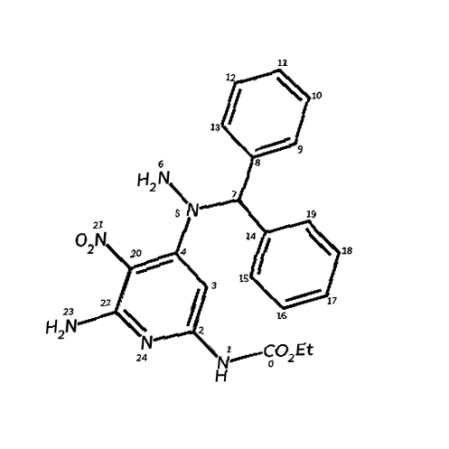 CCOC(=O)Nc1cc(N(N)C(c2ccccc2)c2ccccc2)c([N+](=O)[O-])c(N)n1